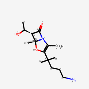 CC(O)[C@H]1C(=O)N2C(C(=O)O)=C(C(C)(C)CCCN)O[C@H]12